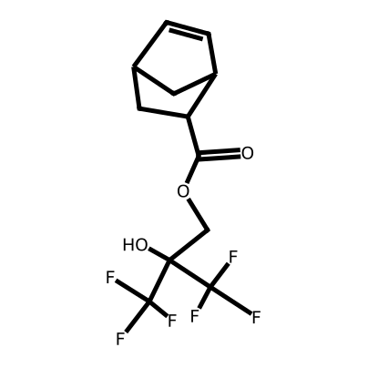 O=C(OCC(O)(C(F)(F)F)C(F)(F)F)C1CC2C=CC1C2